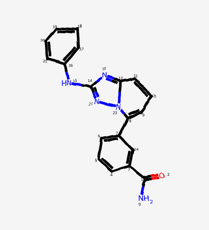 NC(=O)c1cccc(-c2cccc3nc(Nc4ccccc4)nn23)c1